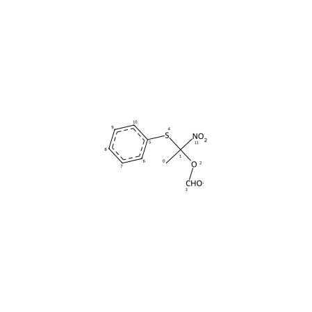 CC(O[C]=O)(Sc1ccccc1)[N+](=O)[O-]